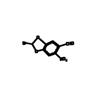 O=Cc1cc2c(cc1[N+](=O)[O-])OC(Br)O2